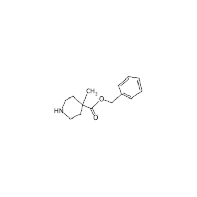 CC1(C(=O)OCc2ccccc2)CCNCC1